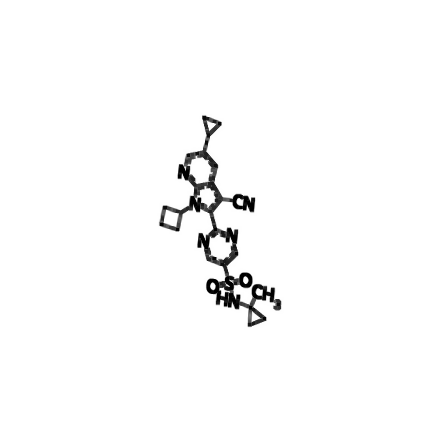 CC1(NS(=O)(=O)c2cnc(-c3c(C#N)c4cc(C5CC5)cnc4n3C3CCC3)nc2)CC1